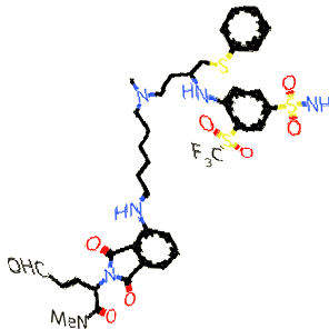 CNC(=O)C(CCC=O)N1C(=O)c2cccc(NCCCCCCN(C)CCC(CSc3ccccc3)Nc3ccc(S(N)(=O)=O)cc3S(=O)(=O)C(F)(F)F)c2C1=O